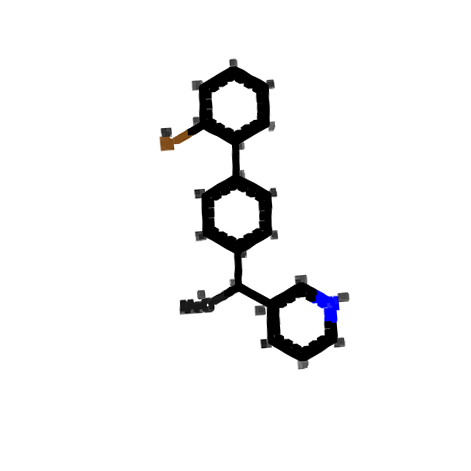 COC(c1ccc(-c2ccccc2Br)cc1)c1cccnc1